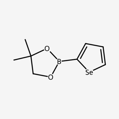 CC1(C)COB(c2ccc[se]2)O1